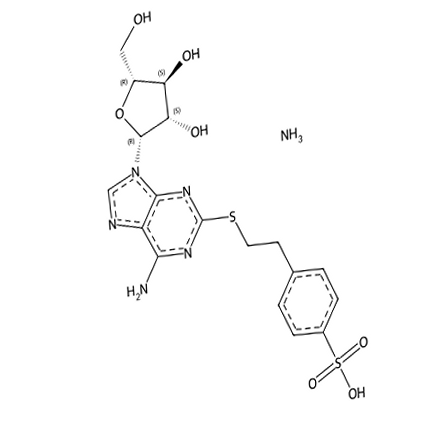 N.Nc1nc(SCCc2ccc(S(=O)(=O)O)cc2)nc2c1ncn2[C@@H]1O[C@H](CO)[C@@H](O)[C@@H]1O